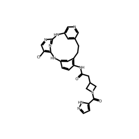 O=C(CC1CN(C(=O)c2ccn[nH]2)C1)Nc1ccc2cc1CCc1cncc(c1)Nc1ncc(Cl)c(n1)N2